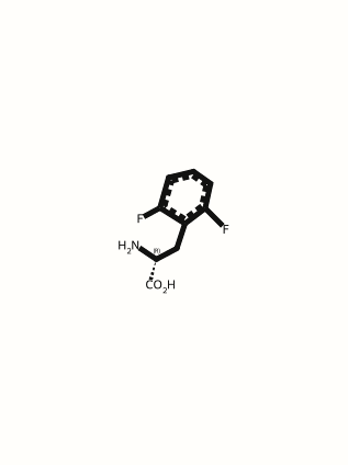 N[C@H](Cc1c(F)cccc1F)C(=O)O